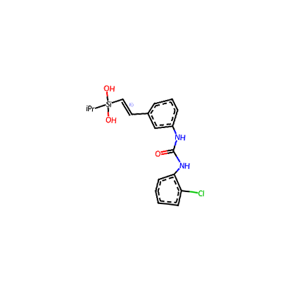 CC(C)[Si](O)(O)/C=C/c1cccc(NC(=O)Nc2ccccc2Cl)c1